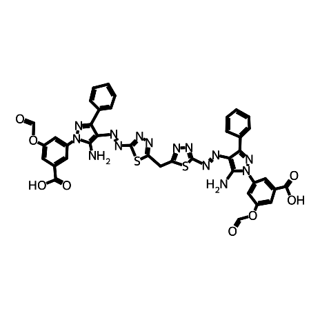 Nc1c(N=Nc2nnc(Cc3nnc(N=Nc4c(-c5ccccc5)nn(-c5cc(OC=O)cc(C(=O)O)c5)c4N)s3)s2)c(-c2ccccc2)nn1-c1cc(OC=O)cc(C(=O)O)c1